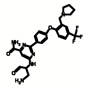 NCC(C=O)Nc1cc(C(N)=O)nc(-c2ccc(Oc3ccc(C(F)(F)F)cc3CN3CCCC3)cc2)n1